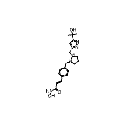 CC(C)(O)c1cn(C[C@H]2CCCN2Cc2ccc(C=CC(=O)NO)cc2)nn1